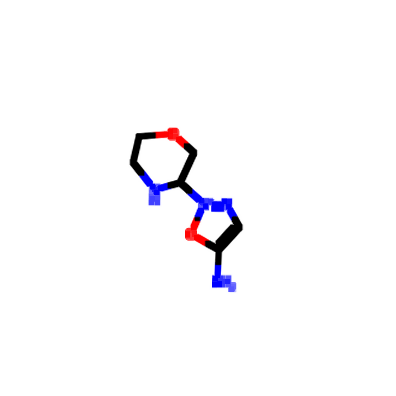 Nc1cn[n+](C2COCCN2)o1